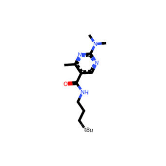 Cc1nc(N(C)C)ncc1C(=O)NCCCC(C)(C)C